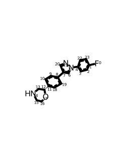 Fc1ccc(-n2cc(-c3ccc([C@H]4CNCCO4)cc3)cn2)cc1